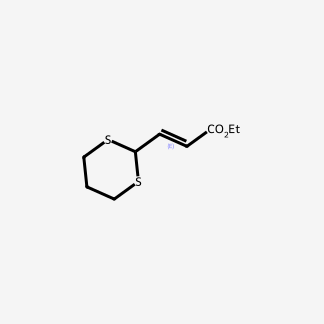 CCOC(=O)/C=C/C1SCCCS1